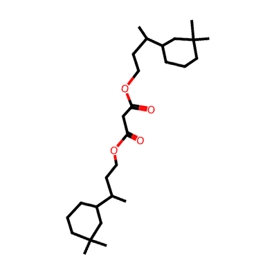 CC(CCOC(=O)CC(=O)OCCC(C)C1CCCC(C)(C)C1)C1CCCC(C)(C)C1